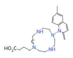 C=C1C=Cc2cc(C)ccc2N1N1CCNCCN(CCCC(=O)O)CCNCC1